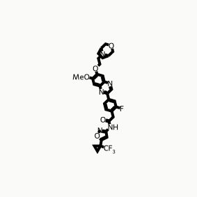 COc1cc2nc(-c3ccc(CC(=O)Nc4cc(C5(C(F)(F)F)CC5)on4)c(F)c3)cnc2cc1OCCN1C2CCC1COC2